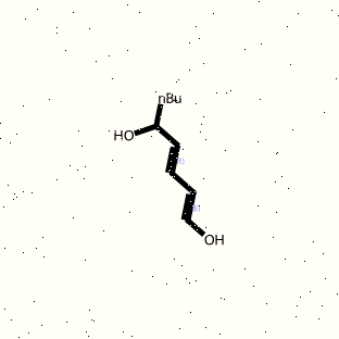 CCCCC(O)/C=C/C=C/O